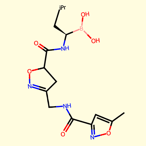 Cc1cc(C(=O)NCC2=NOC(C(=O)N[C@@H](CC(C)C)B(O)O)C2)no1